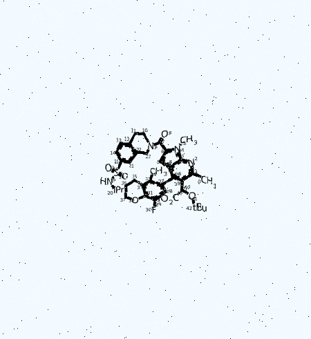 Cc1nc2c(cc(C(=O)N3CCc4ccc(S(=O)(=O)NC(C)C)cc4C3)n2C)c(-c2cc(F)c3c(c2C)CCCO3)c1[C@H](OC(C)(C)C)C(=O)O